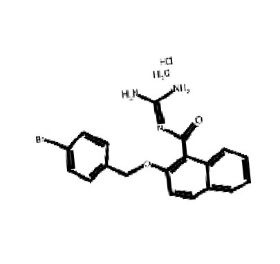 Cl.NC(N)=NC(=O)c1c(OCc2ccc(Br)cc2)ccc2ccccc12.O